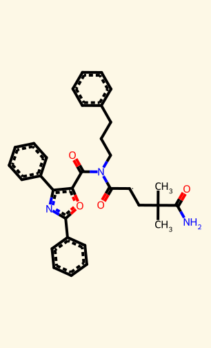 CC(C)(C[CH]C(=O)N(CCCc1ccccc1)C(=O)c1oc(-c2ccccc2)nc1-c1ccccc1)C(N)=O